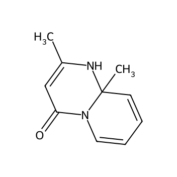 CC1=CC(=O)N2C=CC=CC2(C)N1